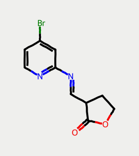 O=C1OCCC1/C=N/c1cc(Br)ccn1